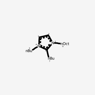 CCCCCCCCn1cc[n+](CCCC)c1CCCC